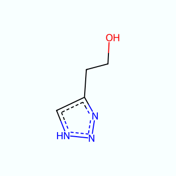 OCCc1c[nH]nn1